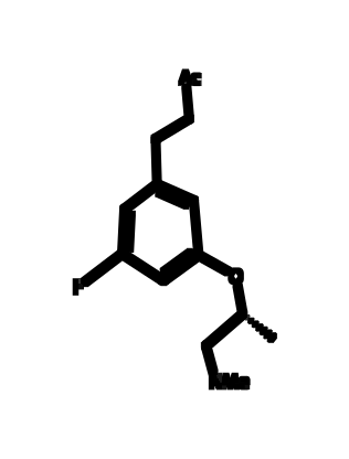 CNC[C@@H](C)Oc1cc(F)cc(CCC(C)=O)c1